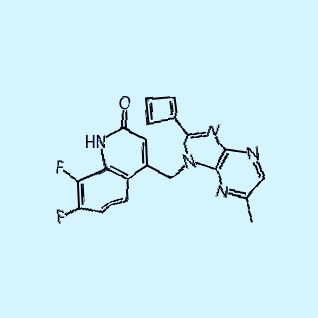 Cc1cnc2nc(C3=CC=C3)n(Cc3cc(=O)[nH]c4c(F)c(F)ccc34)c2n1